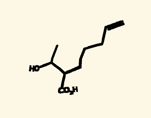 C=CCCCC(C(=O)O)C(C)O